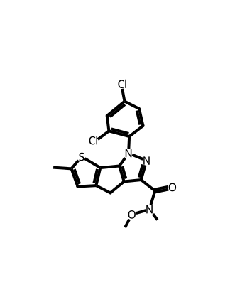 CON(C)C(=O)c1nn(-c2ccc(Cl)cc2Cl)c2c1Cc1cc(C)sc1-2